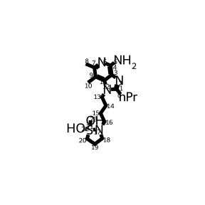 CCCc1nc2c(N)nc(C)c(C)c2n1CCCCN1CCCS1(O)O